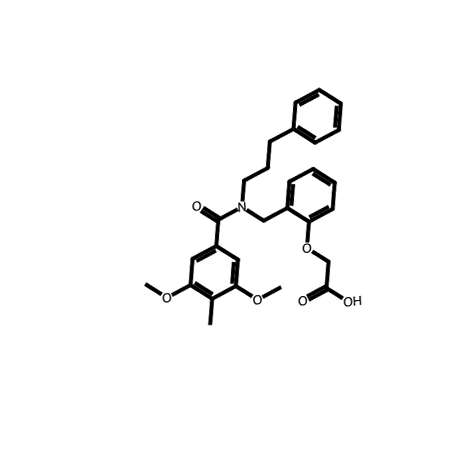 COc1cc(C(=O)N(CCCc2ccccc2)Cc2ccccc2OCC(=O)O)cc(OC)c1C